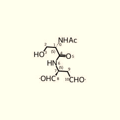 CC(=O)N[C@@H](CO)C(=O)N[C@H]([C]=O)C[C]=O